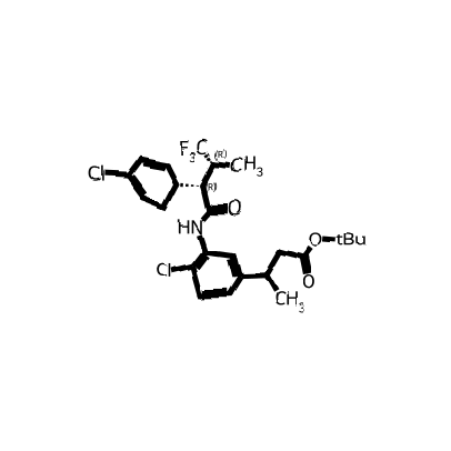 CC(CC(=O)OC(C)(C)C)c1ccc(Cl)c(NC(=O)[C@H](C2C=CC(Cl)=CC2)[C@@H](C)C(F)(F)F)c1